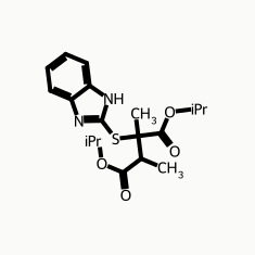 CC(C)OC(=O)C(C)C(C)(Sc1nc2ccccc2[nH]1)C(=O)OC(C)C